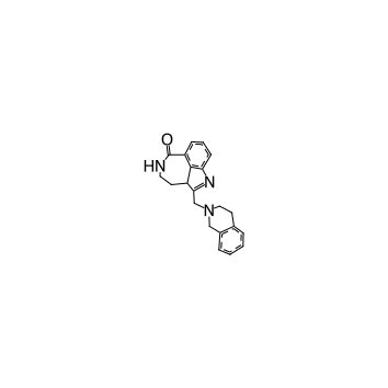 O=C1NCCC2C(CN3CCc4ccccc4C3)=Nc3cccc1c32